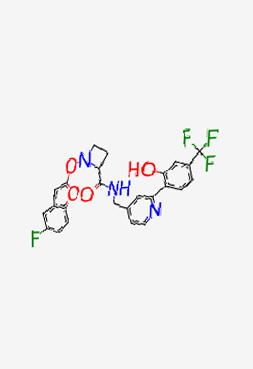 O=C(NCc1ccnc(-c2ccc(C(F)(F)F)cc2O)c1)C1CCN1Oc1cc2cc(F)ccc2o1